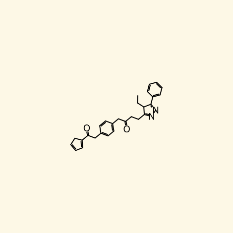 CCC1C(CCC(=O)Cc2ccc(CC(=O)C3=CC=CC3)cc2)=NN=C1c1ccccc1